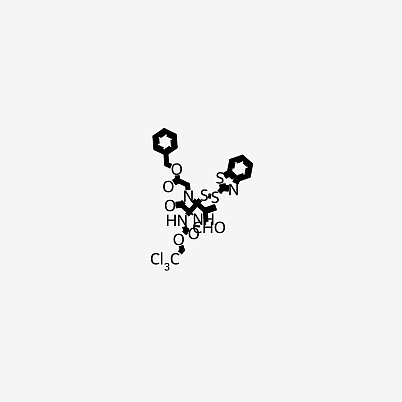 C=C(C)C1(SSc2nc3ccccc3s2)N(CC(=O)OCc2ccccc2)C(=O)[C@]1(NC=O)NC(=O)OCC(Cl)(Cl)Cl